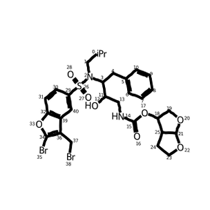 CC(C)CN(C(Cc1ccccc1)C(O)CNC(=O)OC1COC2OCCC12)S(=O)(=O)c1ccc2oc(Br)c(CBr)c2c1